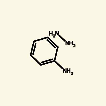 NN.Nc1ccccc1